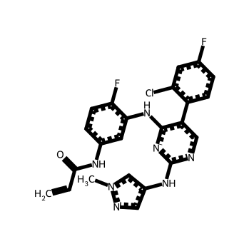 C=CC(=O)Nc1ccc(F)c(Nc2nc(Nc3cnn(C)c3)ncc2-c2ccc(F)cc2Cl)c1